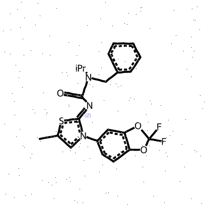 Cc1cn(-c2ccc3c(c2)OC(F)(F)O3)/c(=N/C(=O)N(Cc2ccccc2)C(C)C)s1